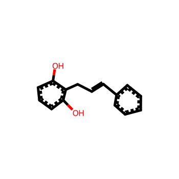 Oc1cccc(O)c1CC=Cc1ccccc1